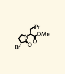 COC(=O)[C@H](CC(C)C)N1CC[C@@H](Br)C1=O